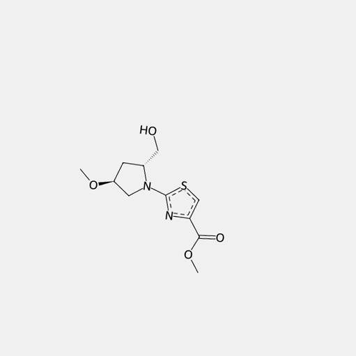 COC(=O)c1csc(N2C[C@@H](OC)C[C@@H]2CO)n1